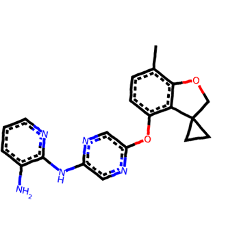 Cc1ccc(Oc2cnc(Nc3ncccc3N)cn2)c2c1OCC21CC1